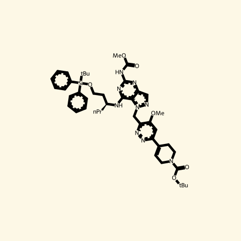 CCC[C@@H](CCO[Si](c1ccccc1)(c1ccccc1)C(C)(C)C)Nc1nc(NC(=O)OC)nc2cnn(Cc3nnc(C4=CCN(C(=O)OC(C)(C)C)CC4)cc3OC)c12